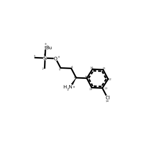 CC(C)(C)[Si](C)(C)OCC[C@H](N)c1cccc(Cl)c1